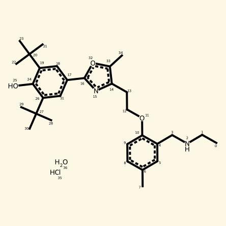 CCNCc1cc(C)ccc1OCCc1nc(-c2cc(C(C)(C)C)c(O)c(C(C)(C)C)c2)oc1C.Cl.O